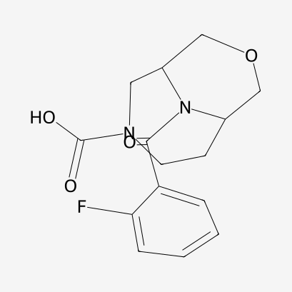 O=C(O)N1CCC2COCC(C1)N2C(=O)c1ccccc1F